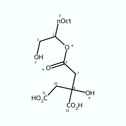 CCCCCCCCC(CO)OC(=O)CC(O)(CC(=O)O)C(=O)O